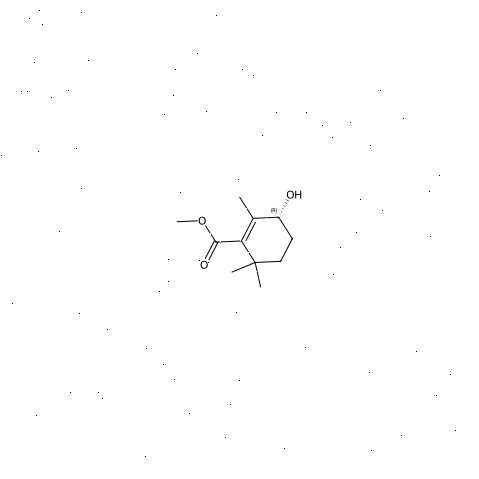 COC(=O)C1=C(C)[C@H](O)CCC1(C)C